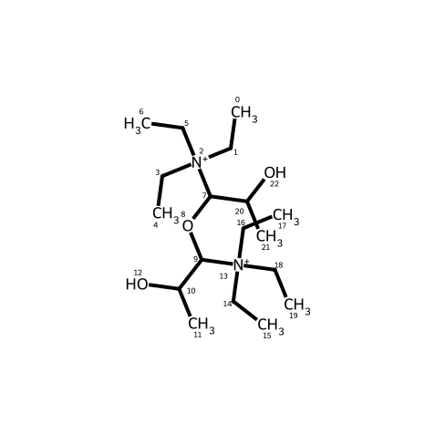 CC[N+](CC)(CC)C(OC(C(C)O)[N+](CC)(CC)CC)C(C)O